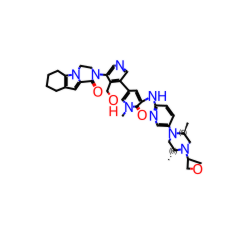 C[C@@H]1CN(c2ccc(Nc3cc(-c4cncc(N5CCn6c(cc7c6CCCC7)C5=O)c4CO)cn(C)c3=O)nc2)[C@@H](C)CN1C1COC1